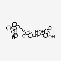 O=C(NCCCCc1cccc(C2(C(=O)O[C@H]3CN4CCC3CC4)CCCCC2)c1)c1ccc(CNCC(O)c2ccc(O)c3[nH]c(=O)ccc23)nc1